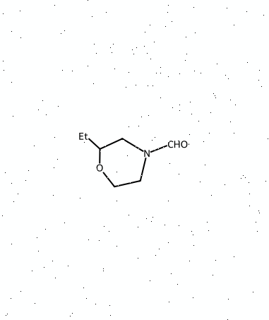 CCC1CN([C]=O)CCO1